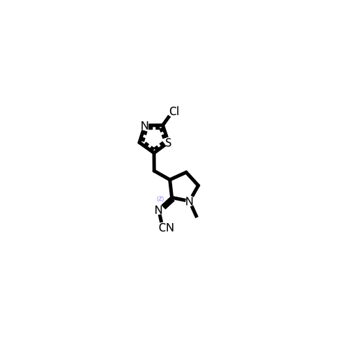 CN1CCC(Cc2cnc(Cl)s2)/C1=N/C#N